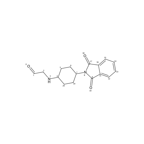 O=[C]CNC1CCC(N2C(=O)c3ccccc3C2=O)CC1